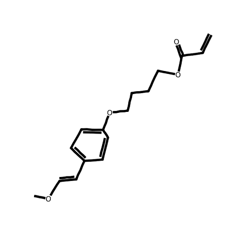 C=CC(=O)OCCCCOc1ccc(/C=C/OC)cc1